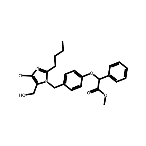 CCCCc1nc(Cl)c(CO)n1Cc1ccc(OC(C(=O)OC)c2ccccc2)cc1